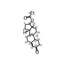 CCC(=O)OC1CC[C@H]2C3CCC4=CC(=O)CC[C@]4(C)C3CCC12C